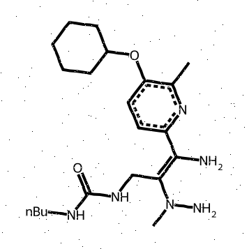 CCCCNC(=O)NC/C(=C(/N)c1ccc(OC2CCCCC2)c(C)n1)N(C)N